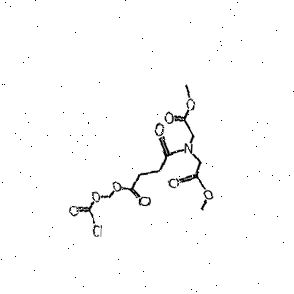 COC(=O)CN(CC(=O)OC)C(=O)CCC(=O)OCOC(=O)Cl